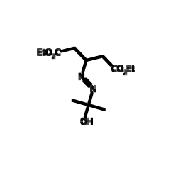 CCOC(=O)CC(CC(=O)OCC)N=NC(C)(C)O